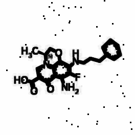 C[C@H]1COc2c(NCCCc3ccccc3)c(F)c(N)c3c(=O)c(C(=O)O)cn1c23